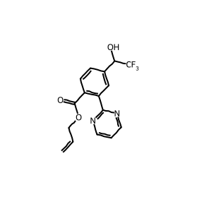 C=CCOC(=O)c1ccc(C(O)C(F)(F)F)cc1-c1ncccn1